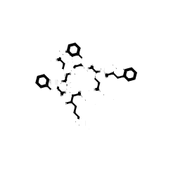 NCCCC(I)[C@H](NC(=O)[C@H](Cc1ccccc1)NC(=O)[C@H](CCC(N)=O)NC(=O)[C@H](Cc1ccccc1)NC(=O)[C@H](CCC(N)=O)NC(=O)[C@@H](N)Cc1ccccc1)C(N)=O